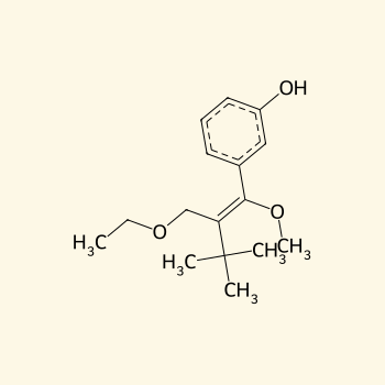 CCOCC(=C(OC)c1cccc(O)c1)C(C)(C)C